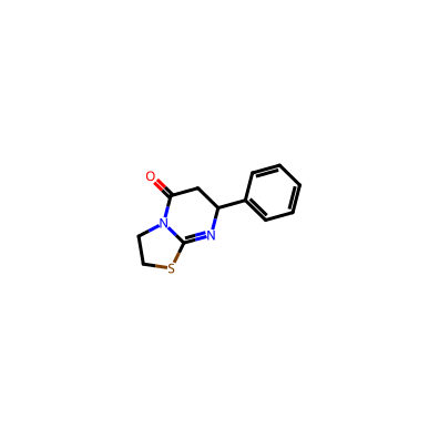 O=C1CC(c2ccccc2)N=C2SCCN12